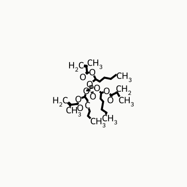 C=C(C)C(=O)OC(CCCCC)OP(=O)(OC(CCCCC)OC(=O)C(=C)C)OC(CCCCC)OC(=O)C(=C)C